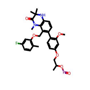 COc1cc(OCC(C)OP=O)ccc1-c1ccc2c(c1COc1cc(F)ccc1C)N(C)C(=O)C(C)(C)N2